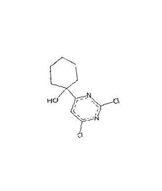 OC1(c2cc(Cl)nc(Cl)n2)CCCCC1